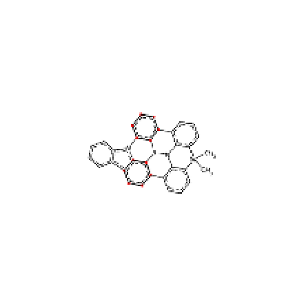 C[Si]1(C)c2cccc(-c3ccccc3)c2N(B2c3ccccc3-n3c4ccccc4c4cccc2c43)c2c(-c3ccccc3)cccc21